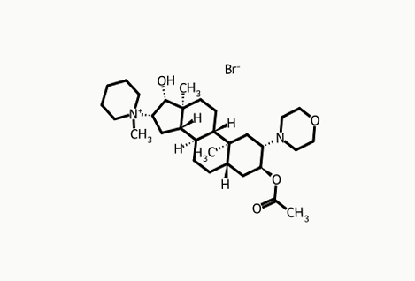 CC(=O)O[C@H]1C[C@@H]2CC[C@@H]3[C@H](CC[C@]4(C)[C@@H](O)[C@@H]([N+]5(C)CCCCC5)C[C@@H]34)[C@@]2(C)C[C@@H]1N1CCOCC1.[Br-]